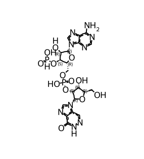 Nc1ncnc2c1ncn2[C@@H]1O[C@H](COP(=O)(O)O[C@@H]2[C@H](O)[C@@H](CO)O[C@H]2n2cnc3c(=O)[nH]ncc32)[C@@H](O[PH](=O)O)[C@H]1O